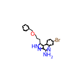 Nc1nc2cc(Br)ccc2c2c(CCCOCc3ccccc3)[nH]nc12